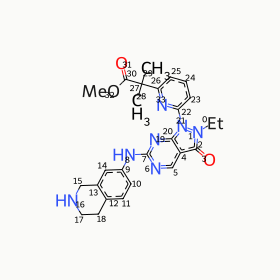 CCn1c(=O)c2cnc(Nc3ccc4c(c3)CNCC4)nc2n1-c1cccc(C(C)(C)C(=O)OC)n1